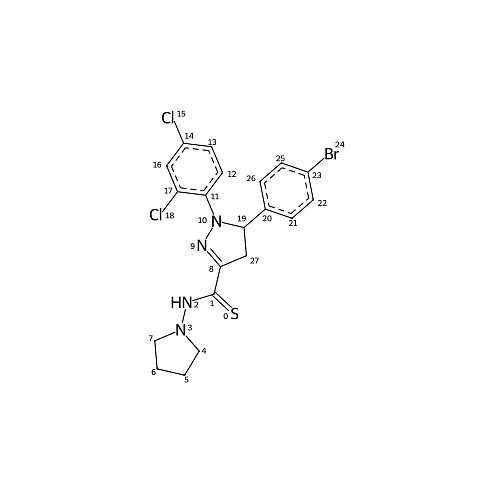 S=C(NN1CCCC1)C1=NN(c2ccc(Cl)cc2Cl)C(c2ccc(Br)cc2)C1